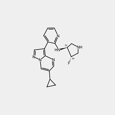 F[C@H]1CNC[C@@H]1Nc1ncccc1-c1cnn2cc(C3CC3)cnc12